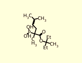 CCC(C)(CC)OC(=O)C(C)(CC=C(C)C)[PH](=O)O